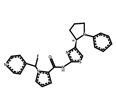 O=C(Nc1nc([C@H]2CCCN2c2ccccc2)cs1)c1cccn1C(F)c1ccncc1